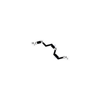 C=NC/C=N\C=C/C